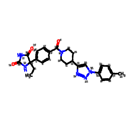 CCC1(c2ccc(C(=O)N3CCC(c4cn(-c5ccc(C)cc5)nn4)CC3)cc2)NC(=O)NC1=O